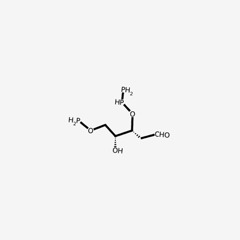 O=CC[C@@H](OPP)[C@H](O)COP